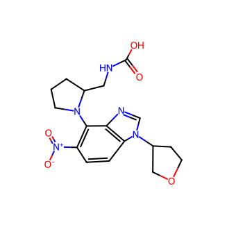 O=C(O)NCC1CCCN1c1c([N+](=O)[O-])ccc2c1ncn2C1CCOC1